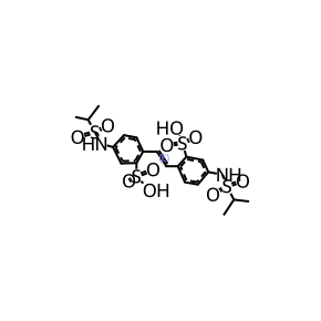 CC(C)S(=O)(=O)Nc1ccc(/C=C/c2ccc(NS(=O)(=O)C(C)C)cc2S(=O)(=O)O)c(S(=O)(=O)O)c1